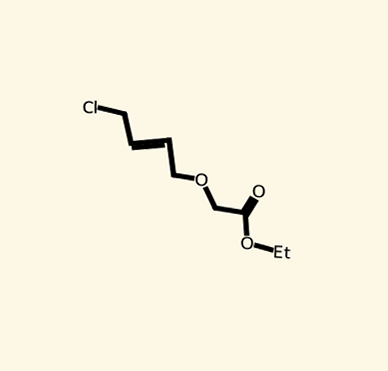 CCOC(=O)COCC=CCCl